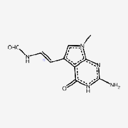 Cn1cc(/C=C/NC=O)c2c(=O)[nH]c(N)nc21